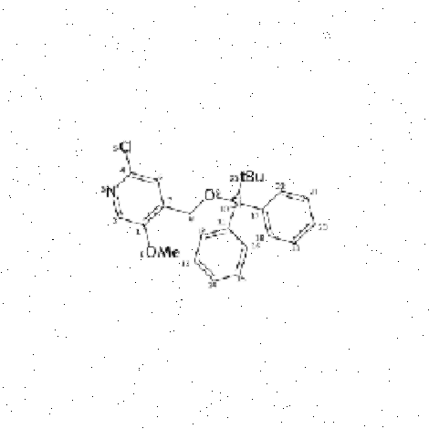 COc1cnc(Cl)cc1CO[Si](c1ccccc1)(c1ccccc1)C(C)(C)C